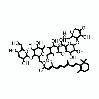 CC1=C(/C=C/C(C)=C/C=C/C(C)=C/C(O)OCC2OC(OC3C(CO)OC(OC4C(CO)OC(OC5C(CO)OCC(O)C5O)C(O)C4O)C(O)C3O)C(O)C(O)C2OC2OC(CO)C(O)CC2O)C(C)(C)CCC1